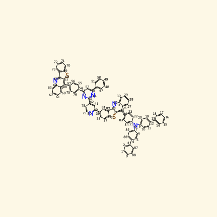 c1ccc(-c2ccc(N(c3ccc(-c4ccccc4)cc3)c3ccc(-c4c5ccccc5nc5c4sc4ccc(-c6cc(-c7nc(-c8ccccc8)cc(-c8ccc(-c9c%10ccccc%10nc%10c9sc9ccccc9%10)cc8)n7)ccn6)cc45)cc3)cc2)cc1